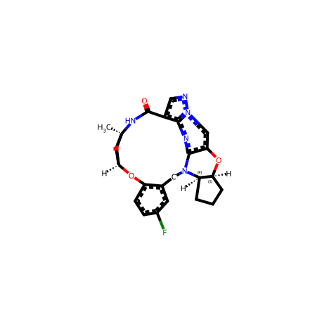 C[C@]12C[C@H](C1)Oc1ccc(F)cc1CN1c3nc4c(cnn4cc3O[C@H]3CCC[C@H]31)C(=O)N2